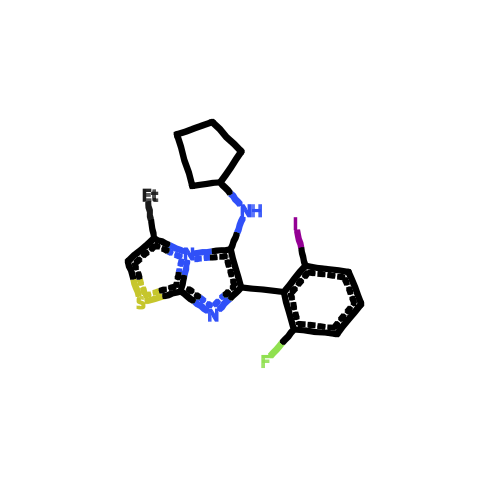 CCc1csc2nc(-c3c(F)cccc3I)c(NC3CCCC3)n12